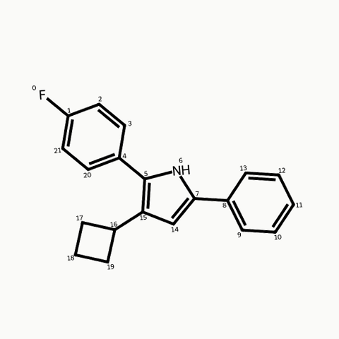 Fc1ccc(-c2[nH]c(-c3ccccc3)cc2C2CCC2)cc1